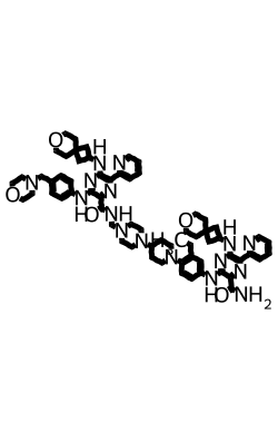 CCc1cc(Nc2nc(NC3CC4(CCOCC4)C3)c(-c3ccccn3)nc2C(N)=O)ccc1N1CCC(N2CCN(CNC(=O)c3nc(-c4ccccn4)c(NC4CC5(CCOCC5)C4)nc3Nc3ccc(CN4CCOCC4)cc3)CC2)CC1